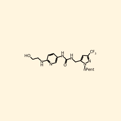 CCCCCn1nc(C(F)(F)F)cc1CNC(=O)Nc1ccc(NCCO)nc1